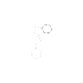 c1ccc2c(c1)NN[C]2NCC1CCNCC1